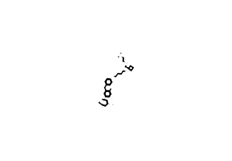 Cc1ccc([C@@]23OC[C@@](C)(C[C@H](O)[C@H]2O)O3)cc1Cc1ccc(OCCCC(=O)NC2(C(=O)NCCN(C)C)CCC2)cc1